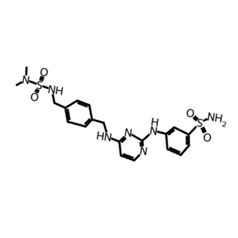 CN(C)S(=O)(=O)NCc1ccc(CNc2ccnc(Nc3cccc(S(N)(=O)=O)c3)n2)cc1